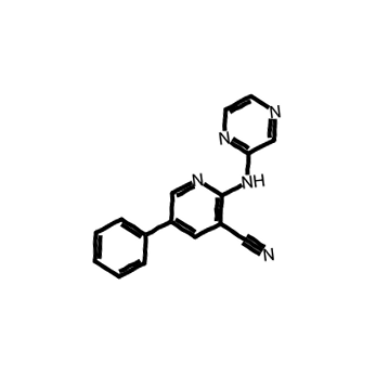 N#Cc1cc(-c2ccccc2)cnc1Nc1cnccn1